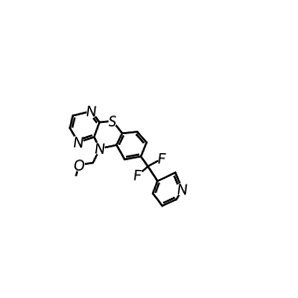 COCN1c2cc(C(F)(F)c3cccnc3)ccc2Sc2nccnc21